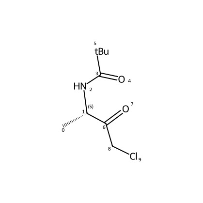 C[C@H](NC(=O)C(C)(C)C)C(=O)CCl